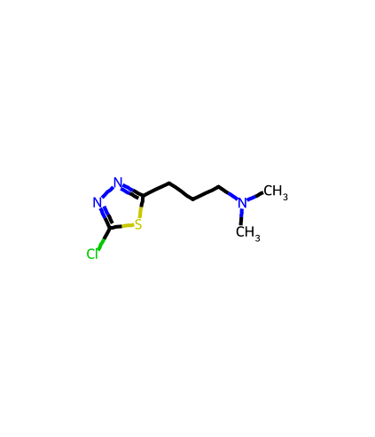 CN(C)CCCc1nnc(Cl)s1